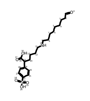 O=CCCCCCCCCNCCCCC(C(=O)O)c1ccc(S(=O)(=O)O)cc1